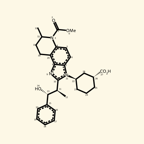 COC(=O)N1c2ccc3c(nc([C@@H](C)[C@@H](O)c4ccccc4)n3[C@@H]3CCC[C@@H](C(=O)O)C3)c2CCC1C